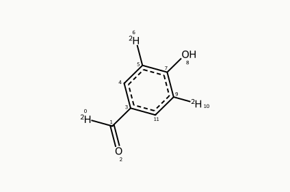 [2H]C(=O)c1cc([2H])c(O)c([2H])c1